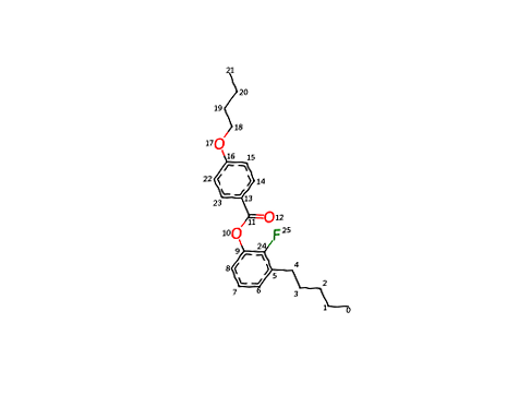 CCCCCc1cccc(OC(=O)c2ccc(OCCCC)cc2)c1F